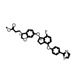 COC(=O)CC[C@@H]1COc2cc(O[C@@H]3CCc4c(Oc5ccc(-c6nccs6)cc5)ccc(F)c43)ccc21